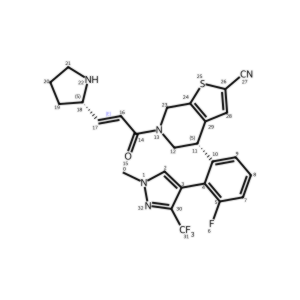 Cn1cc(-c2c(F)cccc2[C@@H]2CN(C(=O)/C=C/[C@@H]3CCCN3)Cc3sc(C#N)cc32)c(C(F)(F)F)n1